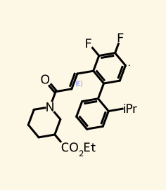 CCOC(=O)C1CCCN(C(=O)/C=C/c2c(-c3ccccc3C(C)C)c[c]c(F)c2F)C1